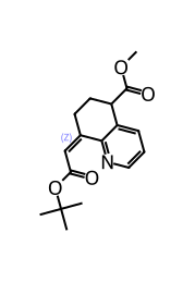 COC(=O)C1CC/C(=C/C(=O)OC(C)(C)C)c2ncccc21